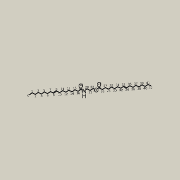 CCCCCCCCC=CCCCCCCCC(=O)NCCCOC(=O)CCCCCCCC=CCCCCCCCC